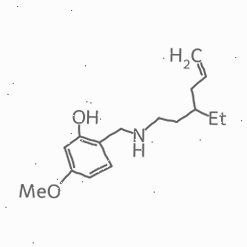 C=CCC(CC)CCNCc1ccc(OC)cc1O